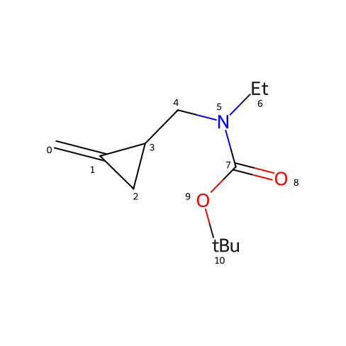 C=C1CC1CN(CC)C(=O)OC(C)(C)C